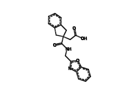 O=C(O)CC1(C(=O)NCc2nc3ccccc3o2)Cc2ccccc2C1